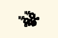 Cc1cnc(OC2CC3CCC2N(C(=O)c2ncc(C)cc2-c2ncccn2)C3)c(Cl)c1